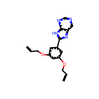 C=CCOc1cc(OCC=C)cc(-c2nc3cncnc3[nH]2)c1